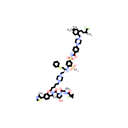 C=C(CCC1=C(CN2CCN(c3ccc(C(=O)NS(=O)(=O)c4ccc(N[C@H](CCN5CCN(CCCCCOc6cc(-c7scnc7C)ccc6C(C)NC(=O)[C@@H]6C[C@@H](O)CN6C(=O)[C@@H](NC(=O)C6(F)CC6)C(C)(C)C)CC5)CSc5ccccc5)c(S(=O)(=O)C(F)(F)F)c4)cc3)CC2)CCC(C)(C)C1)C(F)F